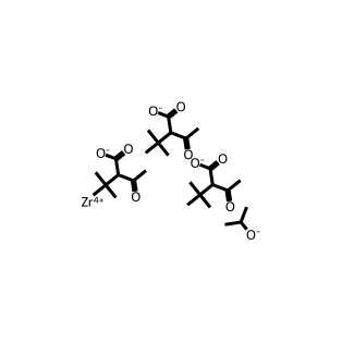 CC(=O)C(C(=O)[O-])C(C)(C)C.CC(=O)C(C(=O)[O-])C(C)(C)C.CC(=O)C(C(=O)[O-])C(C)(C)C.CC(C)[O-].[Zr+4]